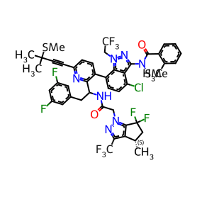 CSN(C(=O)c1ccccc1C)c1nn(CC(F)(F)F)c2c(-c3ccc(C#CC(C)(C)SC)nc3C(Cc3cc(F)cc(F)c3)NC(=O)Cn3nc(C(F)(F)F)c4c3C(F)(F)C[C@@H]4C)ccc(Cl)c12